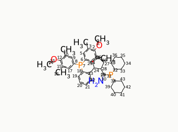 COc1c(C)cc(P(c2cc(C)c(OC)c(C)c2)c2ccccc2C2CCCC2[C@@H](N)P(C2CCCCC2)C2CCCCC2)cc1C